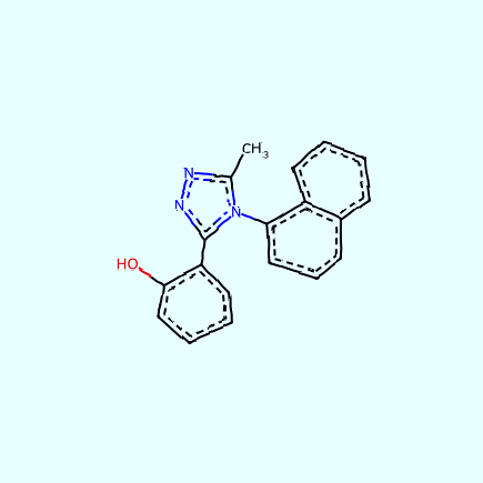 Cc1nnc(-c2ccccc2O)n1-c1cccc2ccccc12